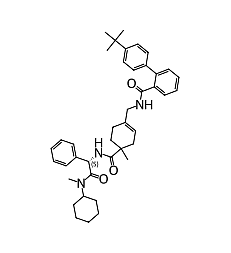 CN(C(=O)[C@@H](NC(=O)C1(C)CC=C(CNC(=O)c2ccccc2-c2ccc(C(C)(C)C)cc2)CC1)c1ccccc1)C1CCCCC1